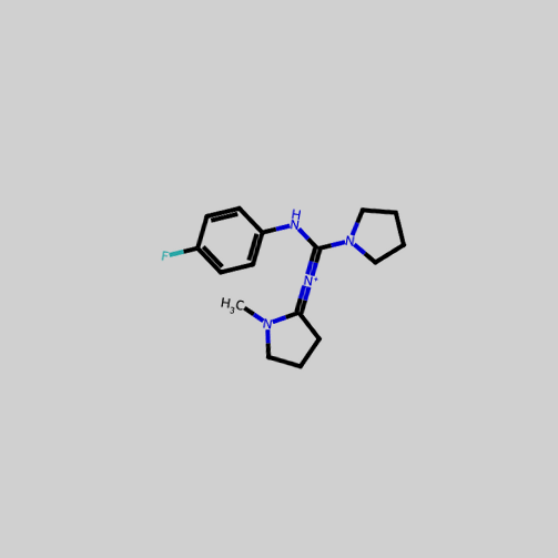 CN1CCCC1=[N+]=C(Nc1ccc(F)cc1)N1CCCC1